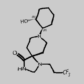 O=C1NCN(CCC(F)(F)F)C12CCN([C@@H]1CCCC[C@H]1O)CC2